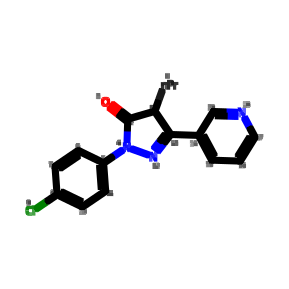 CCCC1C(=O)N(c2ccc(Cl)cc2)N=C1c1cccnc1